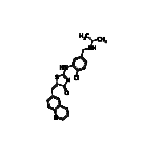 CC(C)NCc1ccc(Cl)c(NC2=NC(=O)C(=Cc3ccc4ncccc4c3)S2)c1